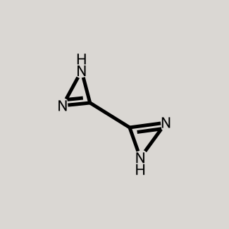 N1=C(C2=NN2)N1